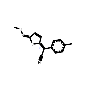 CON=C1C=C/C(=C(/C#N)c2ccc(C)cc2)S1